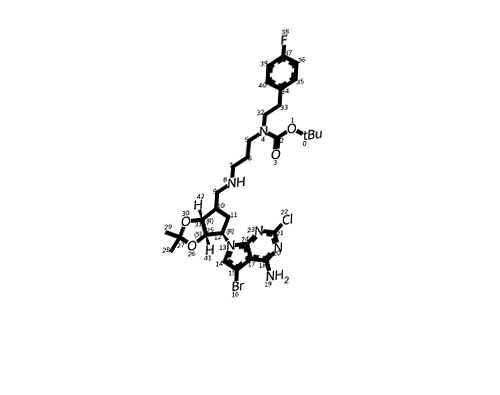 CC(C)(C)OC(=O)N(CCCNCC1C[C@@H](n2cc(Br)c3c(N)nc(Cl)nc32)[C@@H]2OC(C)(C)O[C@H]12)CCc1ccc(F)cc1